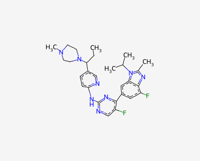 CCC(c1ccc(Nc2ncc(F)c(-c3cc(F)c4nc(C)n(C(C)C)c4c3)n2)nc1)N1CCN(C)CC1